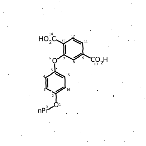 CCCOc1ccc(Oc2cc(C(=O)O)ccc2C(=O)O)cc1